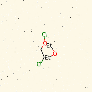 CCOCC.ClCCOCl